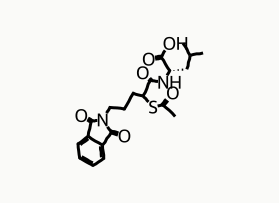 CC(=O)SC(CCCN1C(=O)c2ccccc2C1=O)C(=O)N[C@@H](CC(C)C)C(=O)O